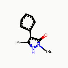 CC(C)c1[nH]n(C(C)(C)C)c(=O)c1-c1ccccc1